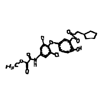 COC(=O)C(=O)Nc1cc(Cl)c(Oc2ccc(O)c(S(=O)(=O)CC3CCCC3)c2)c(Cl)c1